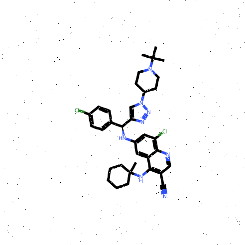 CC1(Nc2c(C#N)cnc3c(Cl)cc(N[C@@H](c4ccc(Cl)cc4)c4cn(C5CCN(C(C)(C)C)CC5)nn4)cc23)CCCCC1